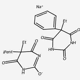 CCC1(c2ccccc2)C(=O)NC(=O)NC1=O.CCCC(C)C1(CC)C(=O)N=C([O-])NC1=O.[Na+]